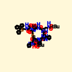 C[C@@H](O)[C@H](NC(=O)[C@@H]1CSSC[C@H](NC(=O)[C@@H](Cc2ccccc2)NC(=O)OC(C)(C)C)C(=O)N[C@@H](Cc2ccc(O)cc2)C(=O)N[C@H](Cc2c[nH]c3ccccc23)C(=O)N[C@@H](CCCCNC(=O)OC(C)(C)C)C(=O)N[C@@H]([C@@H](C)O)C(=O)N1)C(=O)NCCSC(c1ccccc1)(c1ccccc1)c1ccccc1